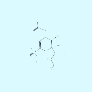 CCOP(=O)(O)C1=C[C@H](NC(=N)N)[C@@H](NC(C)=O)[C@](C)([C@H](O)[C@H](O)CO)O1